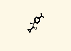 CC(C)c1ccc(N(C)C(=O)C2CC2)cc1